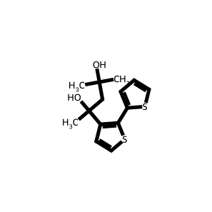 CC(C)(O)CC(C)(O)c1ccsc1-c1cccs1